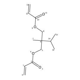 C=CC(=O)OCC(C)(COC(=O)C=C)C(C)C